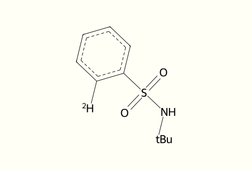 [2H]c1ccccc1S(=O)(=O)NC(C)(C)C